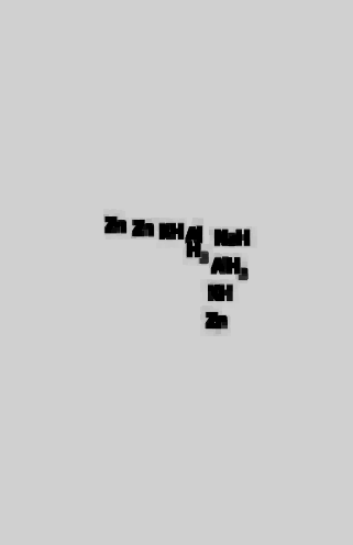 [AlH3].[AlH3].[KH].[KH].[NaH].[Zn].[Zn].[Zn]